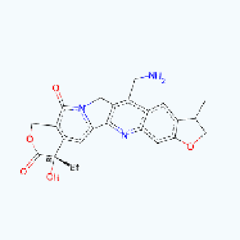 CC[C@@]1(O)C(=O)OCc2c1cc1n(c2=O)Cc2c-1nc1cc3c(cc1c2CN)C(C)CO3